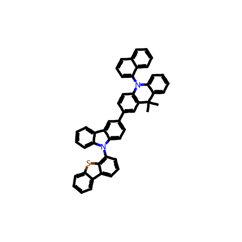 CC1(C)c2ccccc2N(c2cccc3ccccc23)c2ccc(-c3ccc4c(c3)c3ccccc3n4-c3cccc4c3sc3ccccc34)cc21